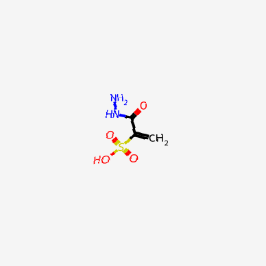 C=C(C(=O)NN)S(=O)(=O)O